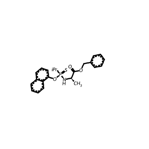 CC(C)P(=S)(N[C@H](C)C(=O)OCc1ccccc1)Oc1cccc2ccccc12